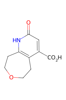 O=C(O)c1cc(=O)[nH]c2c1CCOCC2